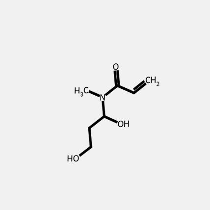 C=CC(=O)N(C)C(O)CCO